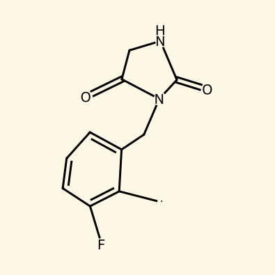 [CH2]c1c(F)cccc1CN1C(=O)CNC1=O